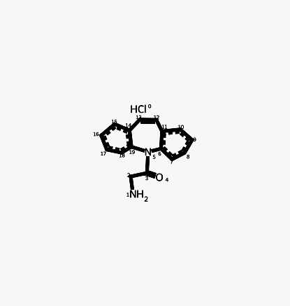 Cl.NCC(=O)N1c2ccccc2C=Cc2ccccc21